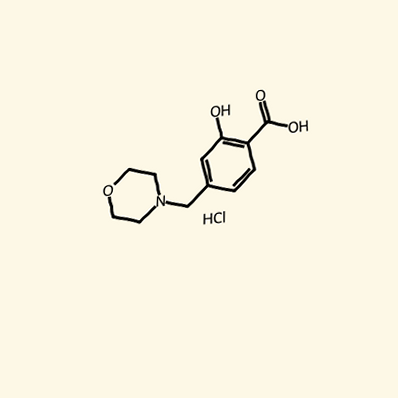 Cl.O=C(O)c1ccc(CN2CCOCC2)cc1O